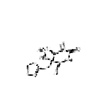 O=C1NC(=O)C(Cc2cccs2)(NO)C(=O)N1